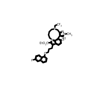 CCOC(=O)c1c(CCCOc2cccc3cc(F)ccc23)c2ccc(Cl)c3c2n1CCCCN(CC(F)(F)F)Cc1nn(C)c(CC)c1-3